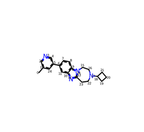 Cc1cncc(-c2ccc3c(c2)nc2n3CCN(C3CCC3)CC2)c1